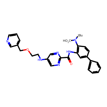 CC(C)(C)N(C(=O)O)c1ccc(-c2ccccc2)cc1NC(=O)c1ncc(NCCOCc2cccnc2)cn1